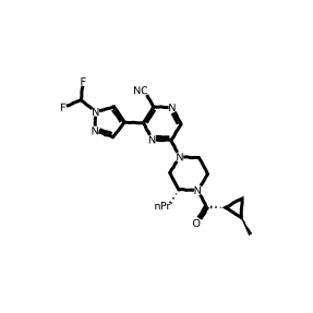 CCC[C@@H]1CN(c2cnc(C#N)c(-c3cnn(C(F)F)c3)n2)CCN1C(=O)[C@@H]1C[C@H]1C